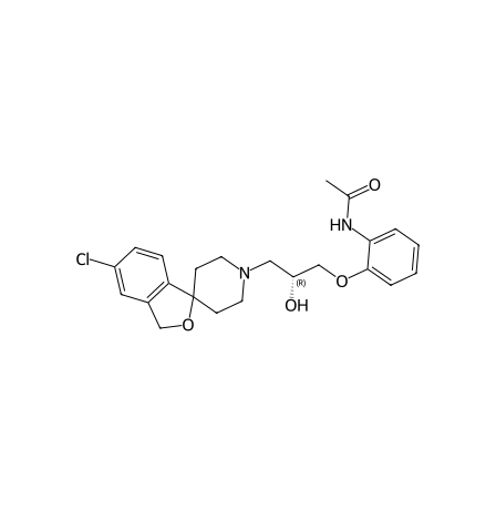 CC(=O)Nc1ccccc1OC[C@H](O)CN1CCC2(CC1)OCc1cc(Cl)ccc12